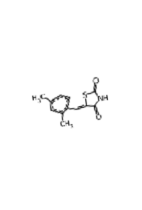 Cc1ccc(C=C2SC(=O)NC2=O)c(C)c1